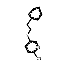 N#Cc1ccc(SCCc2ccccc2)cn1